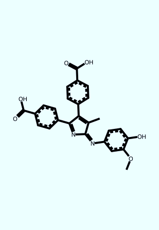 COc1cc(N=C2N=C(c3ccc(C(=O)O)cc3)C(c3ccc(C(=O)O)cc3)=C2C)ccc1O